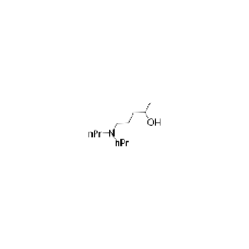 CCCN(CCC)CCCC(C)O